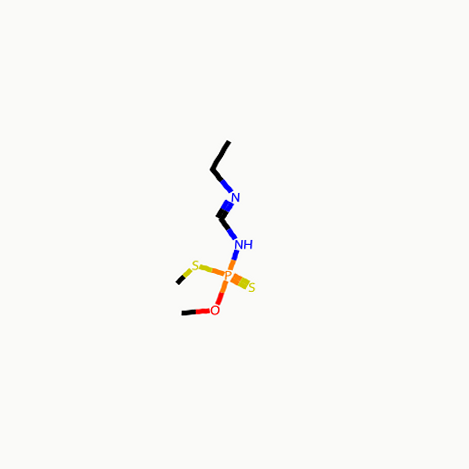 CC/N=C/NP(=S)(OC)SC